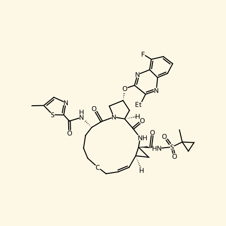 CCc1nc2cccc(F)c2nc1O[C@@H]1C[C@H]2C(=O)N[C@]3(C(=O)NS(=O)(=O)C4(C)CC4)C[C@H]3/C=C\CCCCC[C@H](NC(=O)c3ncc(C)s3)C(=O)N2C1